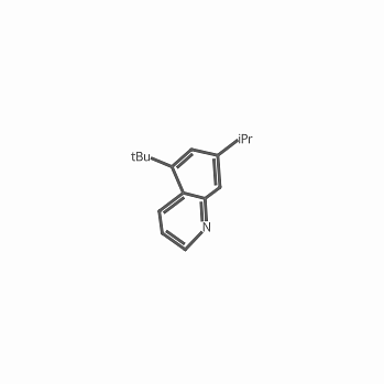 CC(C)c1cc(C(C)(C)C)c2cccnc2c1